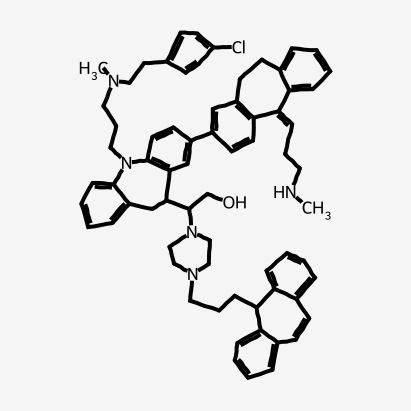 CNCC/C=C1/c2ccccc2CCc2cc(-c3ccc4c(c3)C(C(CO)N3CCN(CCCC5c6ccccc6C=Cc6ccccc65)CC3)Cc3ccccc3N4CCCN(C)CCc3ccc(Cl)cc3)ccc21